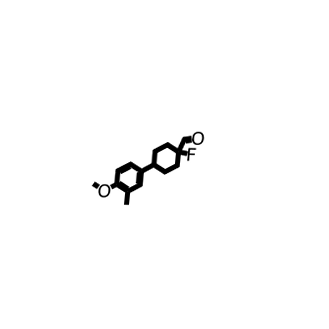 COc1ccc(C2CCC(F)(C=O)CC2)cc1C